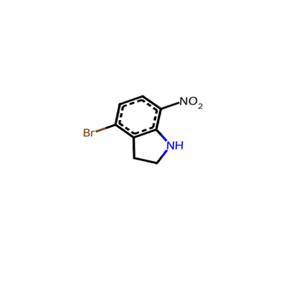 O=[N+]([O-])c1ccc(Br)c2c1NCC2